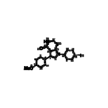 COc1ccc(-c2cn(-c3ccc(I)cc3)c3nc[nH]c(=O)c23)cc1